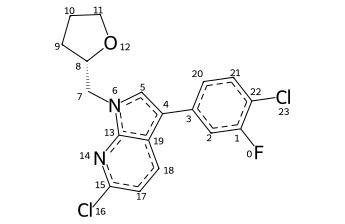 Fc1cc(-c2cn(C[C@@H]3CCCO3)c3nc(Cl)ccc23)ccc1Cl